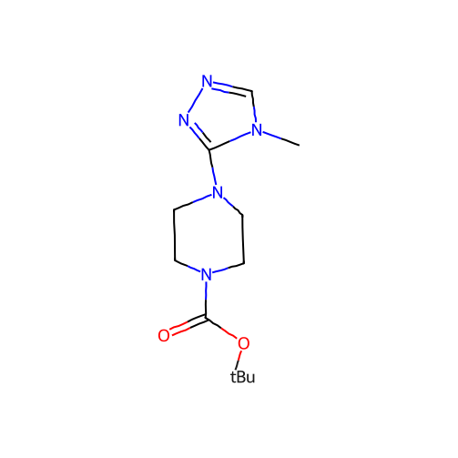 Cn1cnnc1N1CCN(C(=O)OC(C)(C)C)CC1